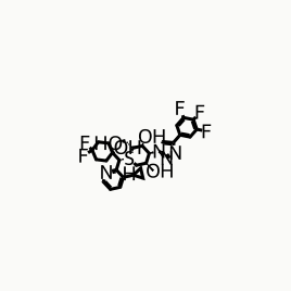 OC[C@@H]1[C@H](O)[C@@H](n2cc(-c3cc(F)c(F)c(F)c3)nn2)[C@@H](O)C[SH]1[C@H](c1ncccc1C1CC1)C1(O)CCC(F)(F)CC1